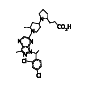 Cc1nn(C(C)c2ccc(Cl)cc2Cl)c2nc(N3CCC(N4CCCC4CCC(=O)O)CC3C)cnc12